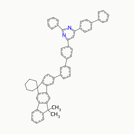 CC1(C)c2ccccc2-c2cc3c(cc21)-c1cc(-c2cccc(-c4ccc(-c5cc(-c6ccc(-c7ccccc7)cc6)nc(-c6ccccc6)n5)cc4)c2)ccc1C31CCCCC1